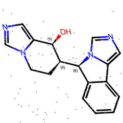 O[C@@H]1c2cncn2CC[C@@H]1[C@@H]1c2ccccc2-c2cncn21